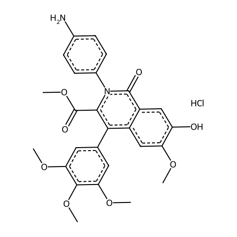 COC(=O)c1c(-c2cc(OC)c(OC)c(OC)c2)c2cc(OC)c(O)cc2c(=O)n1-c1ccc(N)cc1.Cl